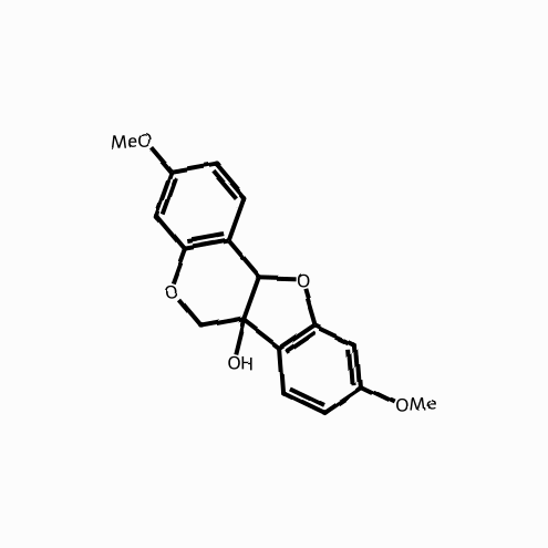 COc1ccc2c(c1)OCC1(O)c3ccc(OC)cc3OC21